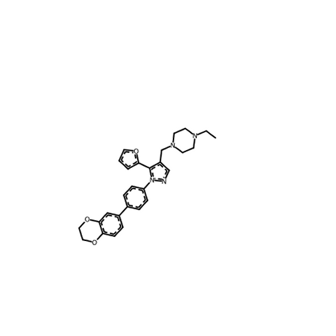 CCN1CCN(Cc2cnn(-c3ccc(-c4ccc5c(c4)OCCO5)cc3)c2-c2ccco2)CC1